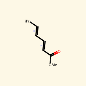 COC(=O)/C=C/C=C/C(C)C